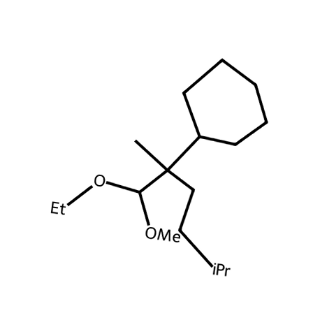 CCOC(OC)C(C)(CCC(C)C)C1CCCCC1